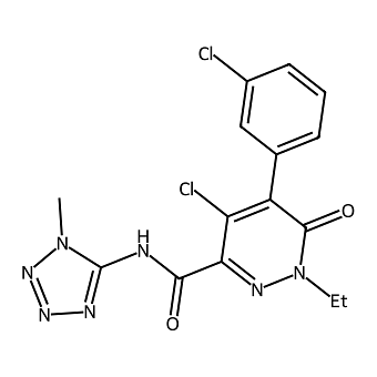 CCn1nc(C(=O)Nc2nnnn2C)c(Cl)c(-c2cccc(Cl)c2)c1=O